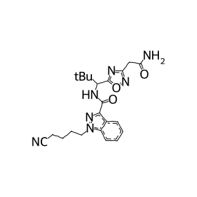 CC(C)(C)C(NC(=O)c1nn(CCCCC#N)c2ccccc12)c1nc(CC(N)=O)no1